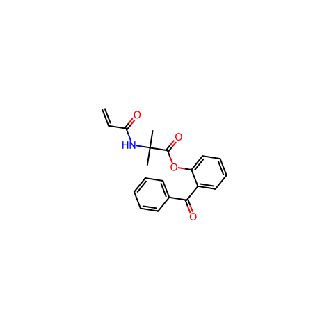 C=CC(=O)NC(C)(C)C(=O)Oc1ccccc1C(=O)c1ccccc1